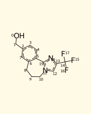 OCc1ccc2c(c1)CCCn1cc(C(F)(F)F)nc1-2